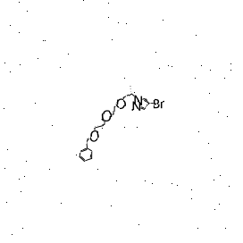 C[C@@H](COCCOCCOCc1ccccc1)n1cc(Br)cn1